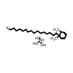 CC1C=CC=CC1(C)CCCCCCCCCCCCCCC[CH2][K].O=P(O)(O)O